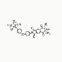 CCC1(C)N(c2ccc(Oc3ccc(N4C(=O)c5cc6c(cc5C4=O)C(=O)C4(C)NC4(C)C6=O)cc3)cc2)C1(C)C